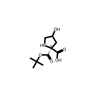 CC(C)(C)OC(=O)[C@@]1(C(=O)O)CC(O)CN1